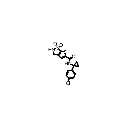 O=C(NC1(c2ccc(Cl)cc2)CC1)c1cc2c(s1)S(=O)(=O)NC2